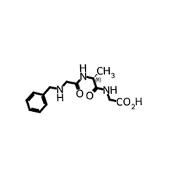 C[C@@H](NC(=O)CNCc1ccccc1)C(=O)NCC(=O)O